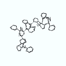 c1ccc(-c2nc(-c3ccc4c(c3)c3ccccc3n4-c3ccccc3)cc(-c3c4ccccc4c(-c4cccc5c4oc4ccc6c(-c7ccccc7)nc7ccccc7c6c45)c4ccccc34)n2)cc1